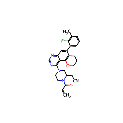 C=CC(=O)N1CCN(c2ncnc3cc(-c4cccc(C)c4F)c4c(c23)OCCC4)CC1CC#N